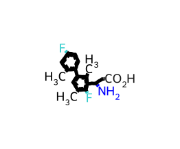 Cc1cc(F)ccc1-c1cc(C)c(F)c(C(N)CC(=O)O)c1C